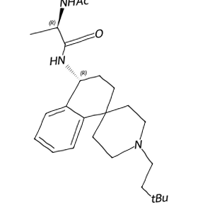 CC(=O)N[C@H](C)C(=O)N[C@@H]1CCC2(CCN(CCC(C)(C)C)CC2)c2ccccc21